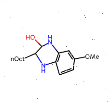 CCCCCCCCC1Nc2ccc(OC)cc2NC1O